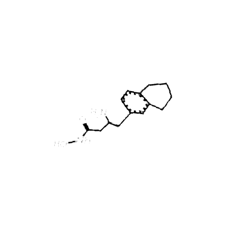 NC(CC(=O)NO)Cc1ccc2c(c1)CCCC2